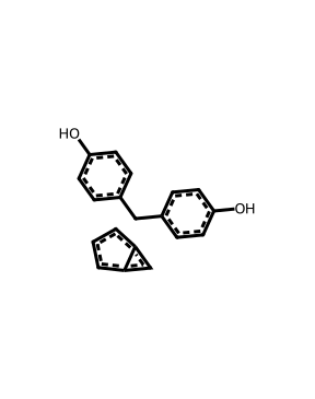 Oc1ccc(Cc2ccc(O)cc2)cc1.c1cc2cc-2c1